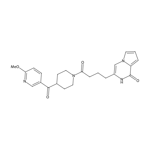 COc1ccc(C(=O)C2CCN(C(=O)CCCc3cn4cccc4c(=O)[nH]3)CC2)cn1